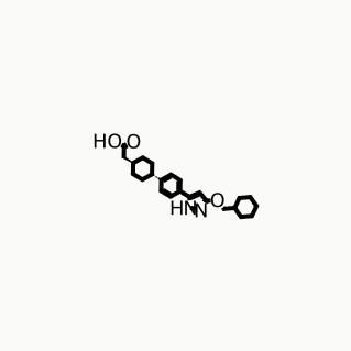 O=C(O)C[C@H]1CC[C@H](c2ccc(-c3cc(OCC4CCCCC4)n[nH]3)cc2)CC1